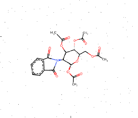 CC(=O)OCC1O[C@@H](OC(C)=O)[C@@H](N2C(=O)c3ccccc3C2=O)C(OC(C)=O)[C@@H]1OC(C)=O